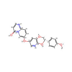 COc1ccc([C@H]2COc3cc(Oc4ccc5nccc(=O)n5c4)cnc3O2)cc1